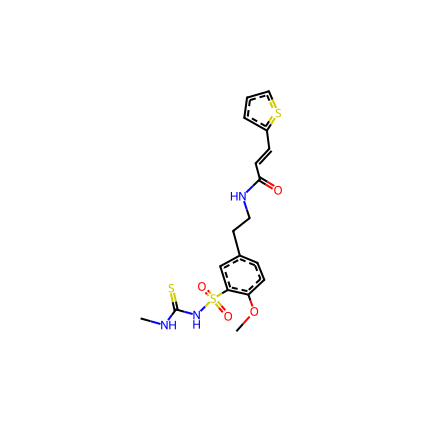 CNC(=S)NS(=O)(=O)c1cc(CCNC(=O)/C=C/c2cccs2)ccc1OC